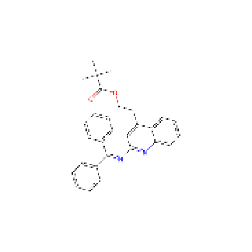 CC(C)(C)C(=O)OCCc1cc(N=C(c2ccccc2)c2ccccc2)nc2ccccc12